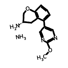 COc1ncc(-c2cccc3c2C[C@H](N)CO3)cn1.N